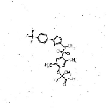 Cc1cc(S(=O)(=O)N(C)c2nc(-c3ccc(C(F)(F)F)cc3)cs2)c(C)cc1OC(C)(C)C(=O)O